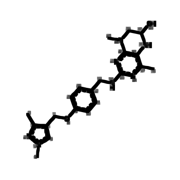 Cc1nn(C)cc1COc1ccc(CNc2nc(C)c3c(n2)N(C)CC(O)N3)cc1